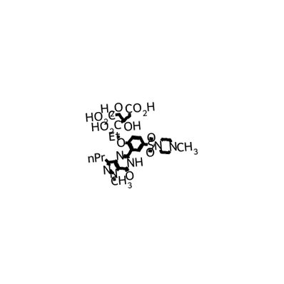 CCCc1nn(C)c2c(=O)[nH]c(-c3cc(S(=O)(=O)N4CCN(C)CC4)ccc3OCC)nc12.O.O=C(O)CC(O)(CC(=O)O)C(=O)O